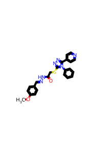 COc1ccc(/C=N/NC(=O)CSc2nnc(-c3ccncc3)n2-c2ccccc2)cc1